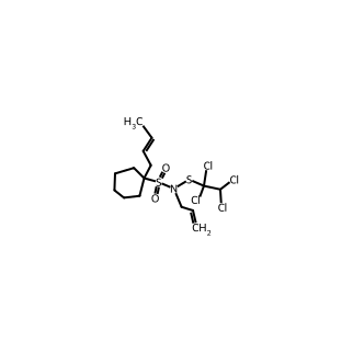 C=CCN(SC(Cl)(Cl)C(Cl)Cl)S(=O)(=O)C1(CC=CC)CCCCC1